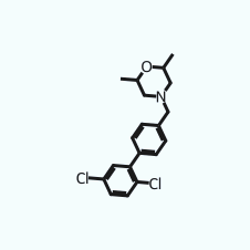 CC1CN(Cc2ccc(-c3cc(Cl)ccc3Cl)cc2)CC(C)O1